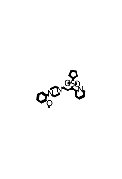 COc1ccccc1N1CCN(CCC(c2ccccn2)S(=O)(=O)C2CCCC2)CC1